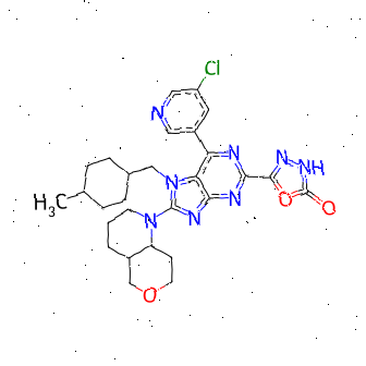 CC1CCC(Cn2c(N3CCCC4COCCC43)nc3nc(-c4n[nH]c(=O)o4)nc(-c4cncc(Cl)c4)c32)CC1